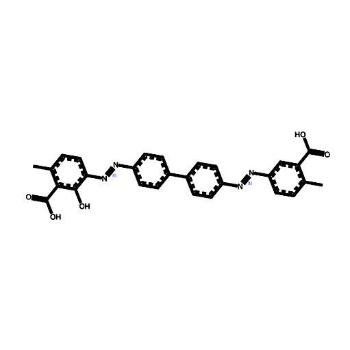 Cc1ccc(/N=N/c2ccc(-c3ccc(/N=N/c4ccc(C)c(C(=O)O)c4O)cc3)cc2)cc1C(=O)O